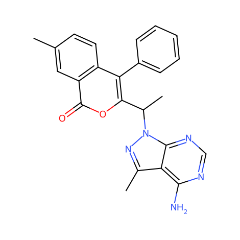 Cc1ccc2c(-c3ccccc3)c(C(C)n3nc(C)c4c(N)ncnc43)oc(=O)c2c1